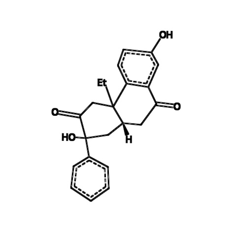 CCC12CC(=O)C(O)(c3ccccc3)C[C@H]1CC(=O)c1cc(O)ccc12